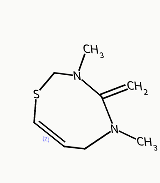 C=C1N(C)C/C=C\SCN1C